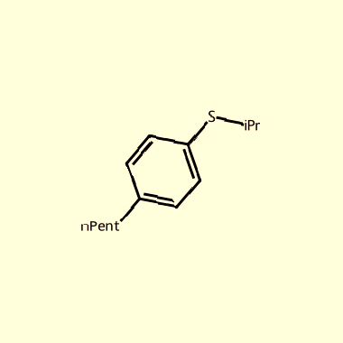 [CH2]CCCCc1ccc(SC(C)C)cc1